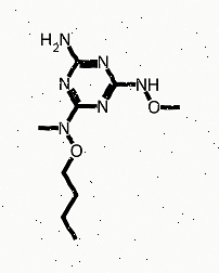 CCCCON(C)c1nc(N)nc(NOC)n1